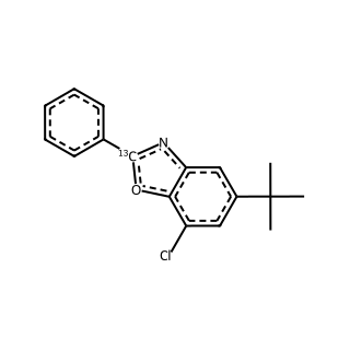 CC(C)(C)c1cc(Cl)c2o[13c](-c3ccccc3)nc2c1